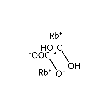 O=C(O)O.O=C([O-])[O-].[Rb+].[Rb+]